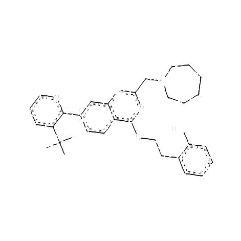 Cc1ccccc1CCNc1nc(CN2CCCCCC2)nc2cc(-c3ncccc3C(F)(F)F)ccc12